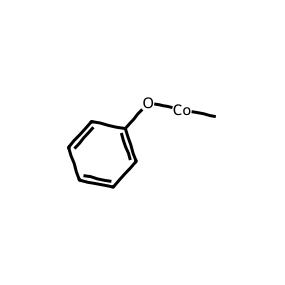 [CH3][Co][O]c1ccccc1